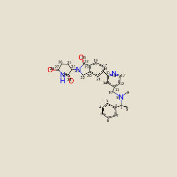 C[C@@H](c1ccccc1)N(C)Cc1ccnc(-c2ccc3c(c2)CN(C2CCC(=O)NC2=O)C3=O)c1